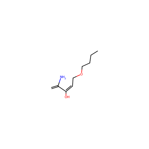 C=C(N)/C(O)=C\COCCCC